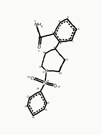 NC(=O)c1ccccc1C1CCN(S(=O)(=O)c2ccccc2)CC1